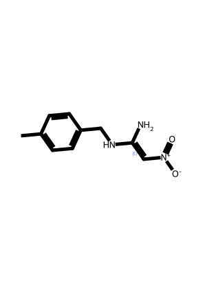 Cc1ccc(CN/C(N)=C/[N+](=O)[O-])cc1